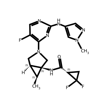 C[C@H]1[C@H]2CN(c3nc(Nc4cnn(C)c4)ncc3F)C[C@@]21NC(=O)[C@@H]1CC1(F)F